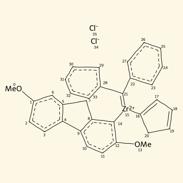 COc1ccc2c(c1)Cc1c-2ccc(OC)[c]1[Zr+2]([C]1=CC=CC1)=[C](c1ccccc1)c1ccccc1.[Cl-].[Cl-]